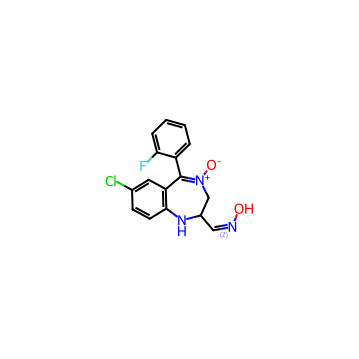 [O-][N+]1=C(c2ccccc2F)c2cc(Cl)ccc2NC(/C=N\O)C1